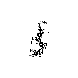 COCCCn1cc(-c2ccc(C3=CN(c4ccc(C(=O)N5CCN(C(=O)[C@@H]6C[C@@H](O)C[N+]6(C)C)CC5)c(Cl)c4)C(C)N3C)c(F)c2F)c(C)n1